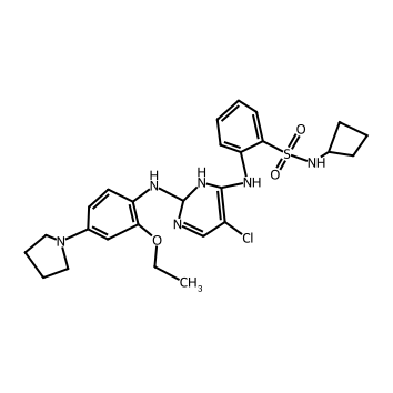 CCOc1cc(N2CCCC2)ccc1NC1N=CC(Cl)=C(Nc2ccccc2S(=O)(=O)NC2CCC2)N1